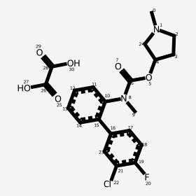 CN1CCC(OC(=O)N(C)c2ccccc2-c2ccc(F)c(Cl)c2)C1.O=C(O)C(=O)O